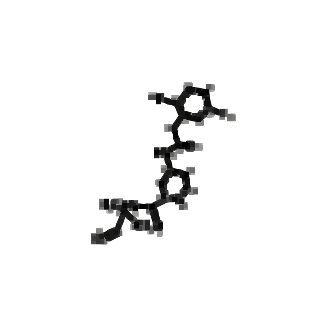 C#CC(C)(C)NC(=O)c1cc(NC(=O)Cc2cc(F)ccc2F)ccn1